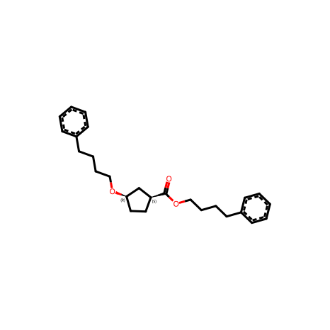 O=C(OCCCCc1ccccc1)[C@H]1CC[C@@H](OCCCCc2ccccc2)C1